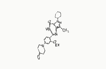 CCOc1cc(N2CCC(=O)CC2)ccc1-c1nc2c(C)nn(C3CCCCC3)c2c(=O)[nH]1